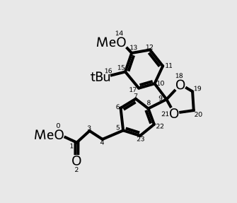 COC(=O)CCc1ccc(C2(c3ccc(OC)c(C(C)(C)C)c3)OCCO2)cc1